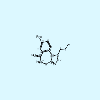 CCCc1nnc2n1-c1ccc(Br)cc1C(=O)NC2